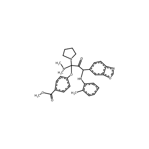 COC(=O)c1ccc(OC(C(=O)C(Nc2ccccc2C)c2ccc3ncoc3c2)(N(C)C)N2CCCC2)cc1